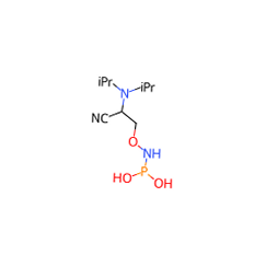 CC(C)N(C(C)C)C(C#N)CONP(O)O